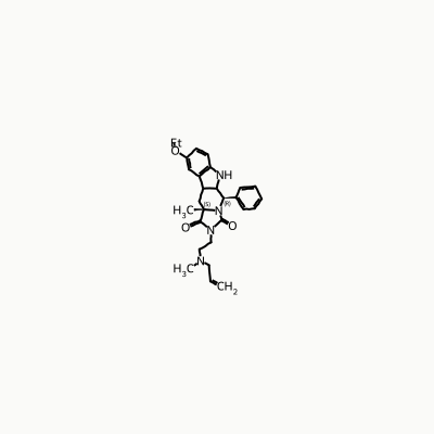 C=CCN(C)CCN1C(=O)N2[C@H](c3ccccc3)C3Nc4ccc(OCC)cc4C3C[C@@]2(C)C1=O